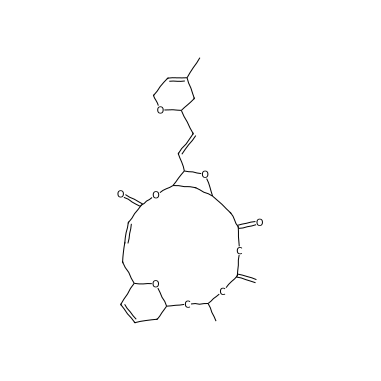 C=C1CC(=O)CC2CC(OC(=O)/C=C\CC3C=CCC(CC(C)C1)O3)C(/C=C/C1CC(C)=CCO1)O2